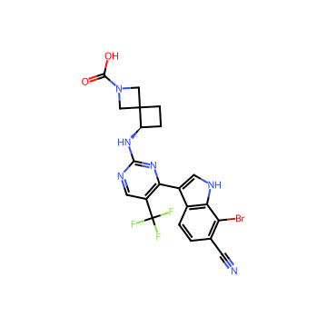 N#Cc1ccc2c(-c3nc(N[C@@H]4CCC45CN(C(=O)O)C5)ncc3C(F)(F)F)c[nH]c2c1Br